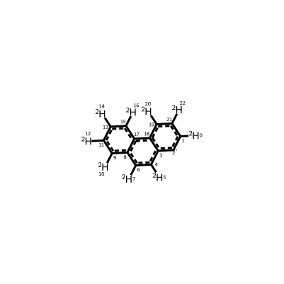 [2H]c1[c]c2c([2H])c([2H])c3c([2H])c([2H])c([2H])c([2H])c3c2c([2H])c1[2H]